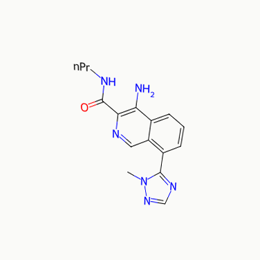 CCCNC(=O)c1ncc2c(-c3ncnn3C)cccc2c1N